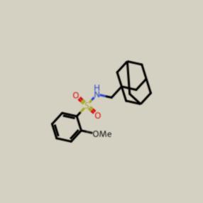 COc1ccccc1S(=O)(=O)NCC12CC3CC(CC(C3)C1)C2